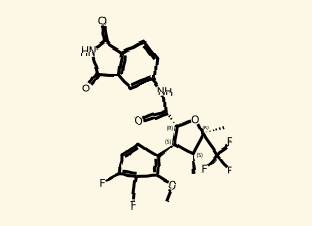 COc1c([C@H]2[C@H](C(=O)Nc3ccc4c(c3)C(=O)NC4=O)O[C@@](C)(C(F)(F)F)[C@H]2C)ccc(F)c1F